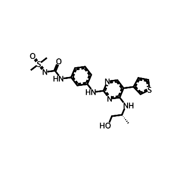 C[C@H](CO)Nc1nc(Nc2cccc(NC(=O)N=S(C)(C)=O)c2)ncc1-c1ccsc1